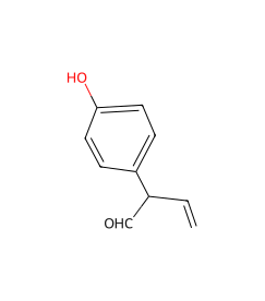 C=CC(C=O)c1ccc(O)cc1